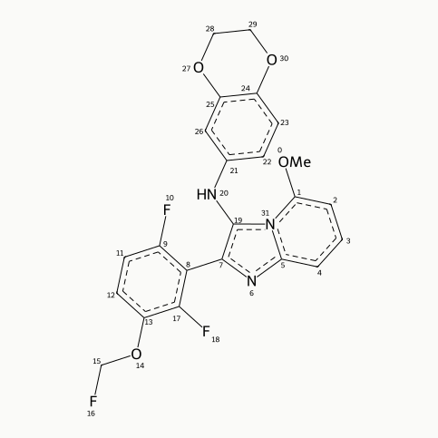 COc1cccc2nc(-c3c(F)ccc(OCF)c3F)c(Nc3ccc4c(c3)OCCO4)n12